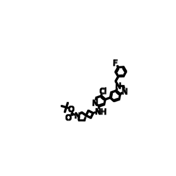 CC(C)(C)OC(=O)N1CC[C@]2(C1)C[C@H](Nc1cc(-c3ccc4ncn(Cc5cccc(F)c5)c4c3)c(Cl)cn1)C2